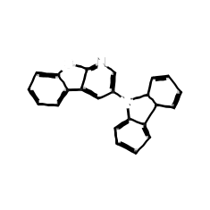 C1=CC2c3ccccc3N(c3cnc4oc5ccccc5c4c3)C2C=C1